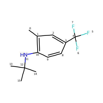 Cc1cc(C(F)(F)F)ccc1NC(C)(C)C